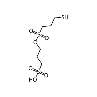 O=S(=O)(O)CCCOS(=O)(=O)CCCS